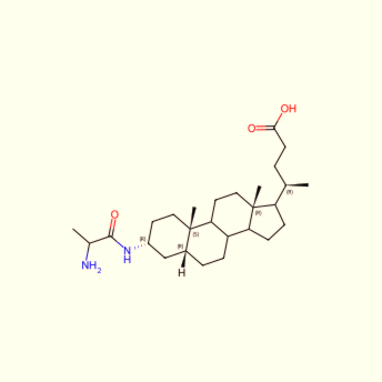 CC(N)C(=O)N[C@@H]1CC[C@]2(C)C3CC[C@@]4(C)C(CCC4[C@H](C)CCC(=O)O)C3CC[C@@H]2C1